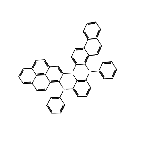 c1ccc(N2c3cccc4c3B(c3ccc5c(ccc6ccccc65)c32)c2cc3ccc5cccc6ccc(c2N4c2ccccc2)c3c56)cc1